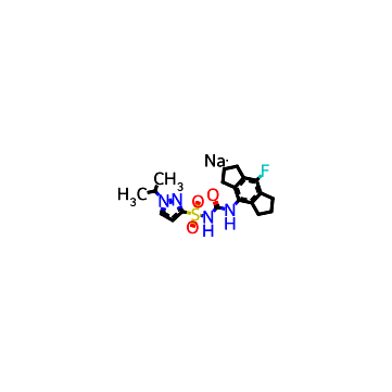 CC(C)n1ccc(S(=O)(=O)NC(=O)Nc2c3c(c(F)c4c2CCC4)CCC3)n1.[Na]